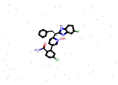 NC(=O)c1ccc(Cl)cc1-c1ccc([C@@H](Cc2ccccc2)c2nc3cc(F)ccc3[nH]2)[n+](O)c1